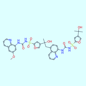 COc1cc(NC(=O)NS(=O)(=O)c2cc(C(C)(O)Cc3ccc(NC(=O)NS(=O)(=O)c4cc(C(C)(C)O)co4)c4ncccc34)co2)c2ncccc2c1